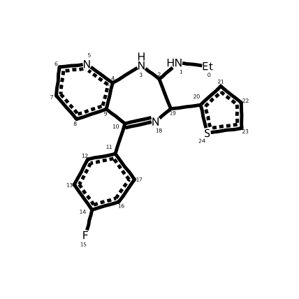 CCNC1Nc2ncccc2C(c2ccc(F)cc2)=NC1c1cccs1